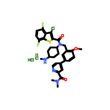 CNC1CCC(N(Cc2cc(-c3ccnc(C(=O)N(C)C)c3)ccc2OC)C(=O)c2sc3c(F)ccc(F)c3c2Cl)CC1.Cl.Cl